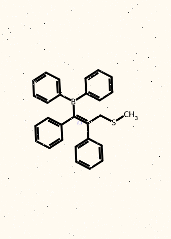 CSC/C(=C(\B(c1ccccc1)c1ccccc1)c1ccccc1)c1ccccc1